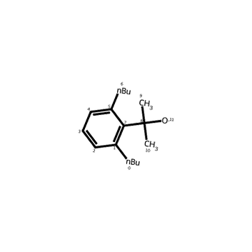 CCCCc1cccc(CCCC)c1C(C)(C)[O]